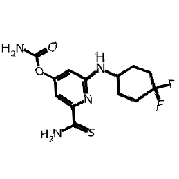 NC(=O)Oc1cc(NC2CCC(F)(F)CC2)nc(C(N)=S)c1